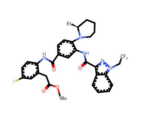 CC[C@H]1CCCCN1c1ccc(C(=O)Nc2ccc(F)cc2CC(=O)OC(C)(C)C)cc1NC(=O)c1nn(CC(F)(F)F)c2ccccc12